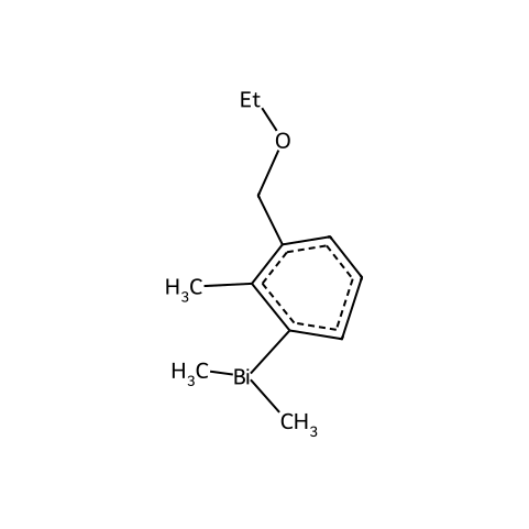 CCOCc1ccc[c]([Bi]([CH3])[CH3])c1C